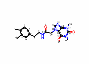 Cc1ccc(CCNC(=O)Cn2cnc3c2c(=O)n(C)c(=O)n3C)cc1C